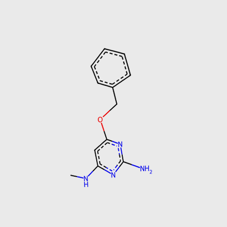 CNc1cc(OCc2ccccc2)nc(N)n1